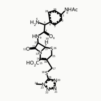 CC(=O)Nc1ccc(C(N)C(=O)NC2C(=O)N3C(C(=O)O)=C(CSc4nnnn4C)CS[C@H]23)cc1